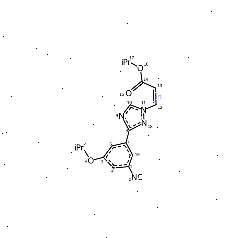 [C-]#[N+]c1cc(OC(C)C)cc(-c2ncn(/C=C\C(=O)OC(C)C)n2)c1